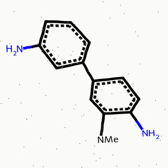 CNc1cc(-c2cccc(N)c2)ccc1N